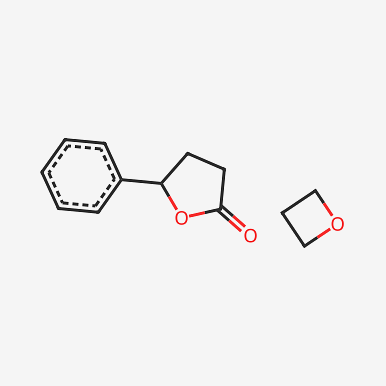 C1COC1.O=C1CCC(c2ccccc2)O1